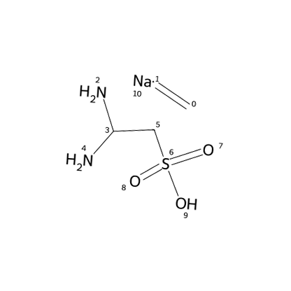 C=C.NC(N)CS(=O)(=O)O.[Na]